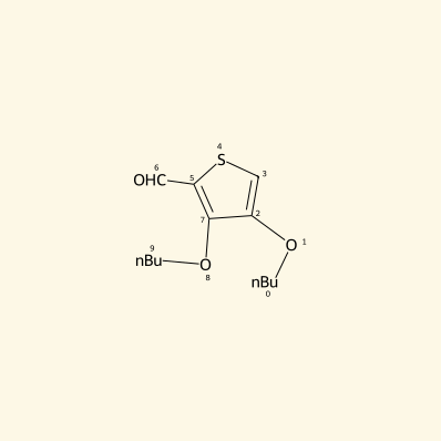 CCCCOc1csc(C=O)c1OCCCC